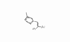 CC(=O)/C(=C/c1cccc(C)c1)C(C)C